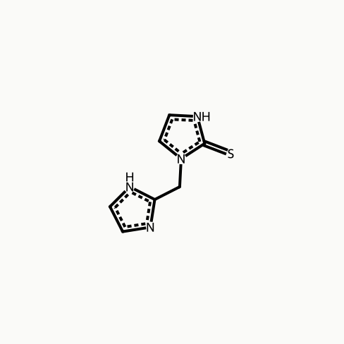 S=c1[nH]ccn1Cc1ncc[nH]1